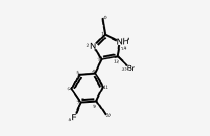 Cc1nc(-c2ccc(F)c(C)c2)c(Br)[nH]1